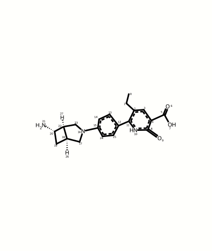 CCc1cc(C(=O)O)c(=O)[nH]c1-c1ccc(N2C[C@H]3C[C@H](N)[C@H]3C2)cc1